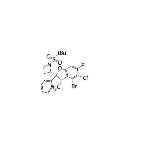 C[C@H]1c2c(cc(F)c(Cl)c2Br)O[C@@]1(c1ccccc1)C1CCN1S(=O)(=O)C(C)(C)C